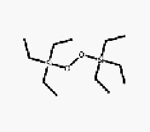 CC[Si](CC)(CC)OO[Si](CC)(CC)CC